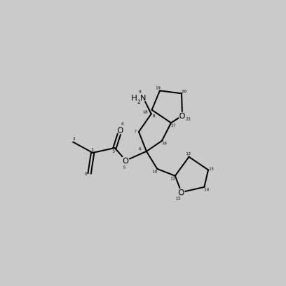 C=C(C)C(=O)OC(CCN)(CC1CCCO1)CC1CCCO1